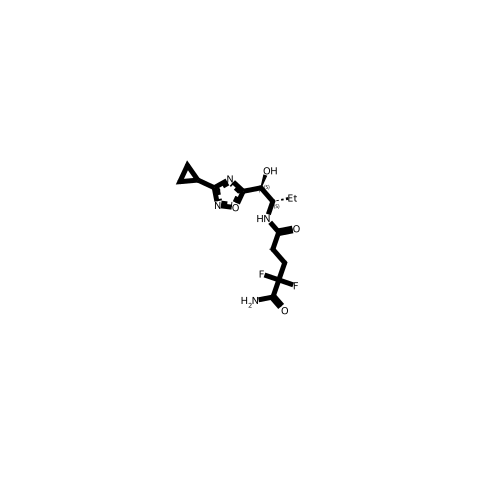 CC[C@H](NC(=O)[CH]CC(F)(F)C(N)=O)[C@H](O)c1nc(C2CC2)no1